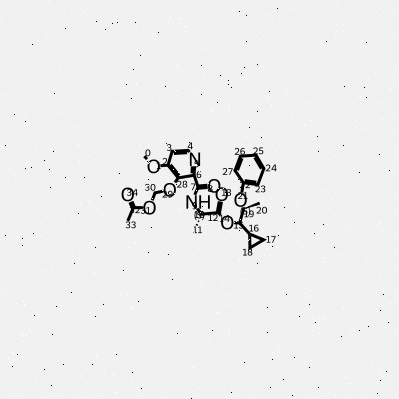 COc1ccnc(C(=O)N[C@@H](C)C(=O)OC(C2CC2)[C@H](C)Oc2ccccc2)c1OCOC(C)=O